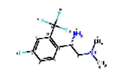 CN(C)C[C@@H](N)c1ccc(F)cc1C(F)(F)F